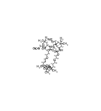 CC1(C)CC(NC(=O)OCCOCCC[Si](C)(C)OC(C)(C)C[Si](C)(C)CCCOCCOC(=O)NC2CC(C)(C)CC(C)(COC#N)C2)CC(C)(CN=C=O)C1